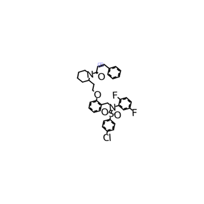 O=C(/C=C\c1ccccc1)N1CCCCC1CCOc1ccccc1CN(c1cc(F)ccc1F)S(=O)(=O)c1ccc(Cl)cc1